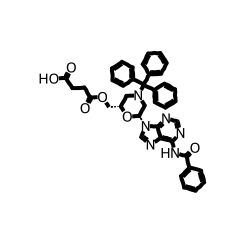 O=C(O)CCC(=O)OC[C@@H]1CN(C(c2ccccc2)(c2ccccc2)c2ccccc2)C[C@H](n2cnc3c(NC(=O)c4ccccc4)ncnc32)O1